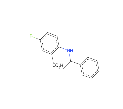 CC(Nc1ccc(F)cc1C(=O)O)c1ccccc1